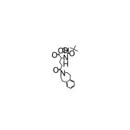 CC(C)(C)OC(=O)NC(CCC(=O)N1CCc2ccccc2CC1)C(=O)O